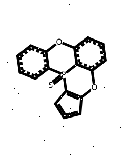 S=P12C3=C(C=C=C3)Oc3cccc(c31)Oc1ccccc12